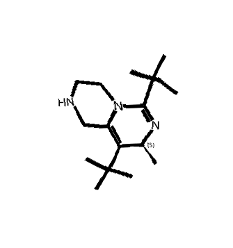 C[C@@H]1N=C(C(C)(C)C)N2CCNCC2=C1C(C)(C)C